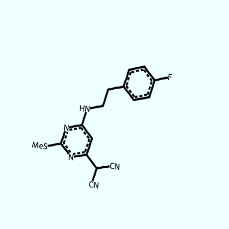 CSc1nc(NCCc2ccc(F)cc2)cc(C(C#N)C#N)n1